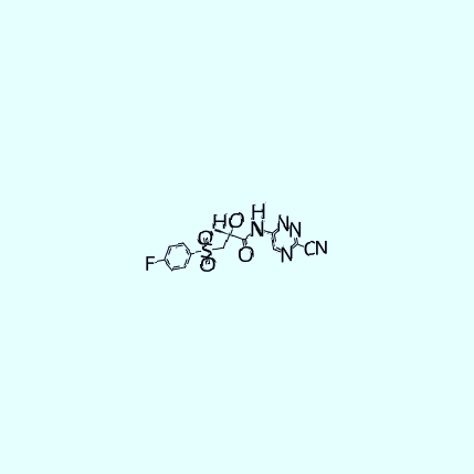 C[C@](O)(CS(=O)(=O)c1ccc(F)cc1)C(=O)Nc1cnc(C#N)nn1